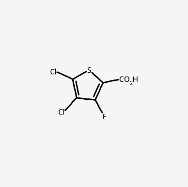 O=C(O)c1sc(Cl)c(Cl)c1F